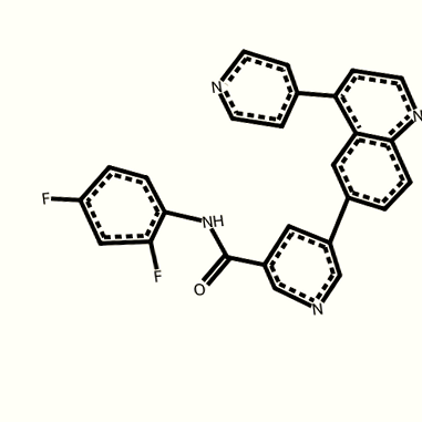 O=C(Nc1ccc(F)cc1F)c1cncc(-c2ccc3nccc(-c4ccncc4)c3c2)c1